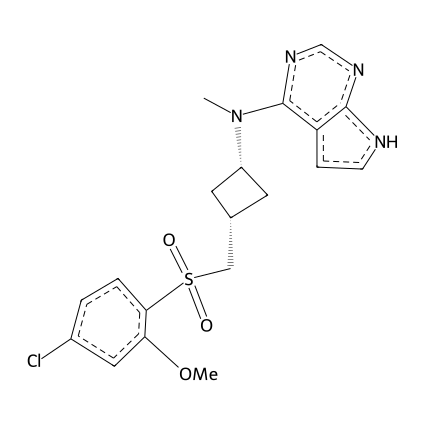 COc1cc(Cl)ccc1S(=O)(=O)C[C@H]1C[C@@H](N(C)c2ncnc3[nH]ccc23)C1